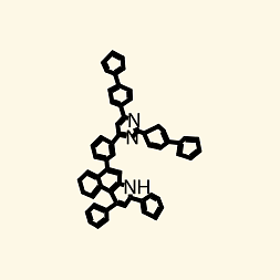 C1=CC(c2nc(-c3ccc(-c4ccccc4)cc3)cc(-c3cccc(-c4cc5c(c6c4=CCCC=6)C(c4ccccc4)=CC(c4ccccc4)N5)c3)n2)CC=C1c1ccccc1